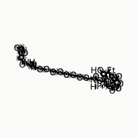 CCc1c2c(nc3ccc(O)cc13)-c1cc3c(c(=O)n1C2)COC(=O)C3(CC)OC(=O)OCC(NC(=O)COCC(=O)NCCOCCOCCOCCOCCOCCOCCOCCOCCn1cc(CNC(=O)C2CCC(CN3C(=O)C=CC3=O)CC2)nn1)C(C)C